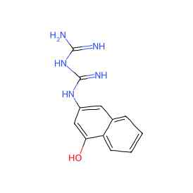 N=C(N)NC(=N)Nc1cc(O)c2ccccc2c1